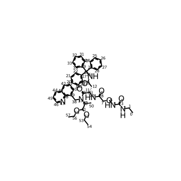 CCNC(=O)NOCC(=O)N[C@@H](CC(=O)NC(c1ccccc1)(c1ccccc1)c1ccccc1)C(=O)N(Cc1cccc2cccnc12)[C@@H](C)C(OCC)OCC